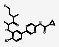 CC(Nc1cc(-c2cnc(NC(=O)C3CC3)cn2)cnc1C#N)C(=O)N(C)CCF